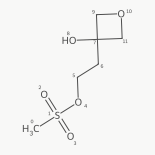 CS(=O)(=O)OCCC1(O)COC1